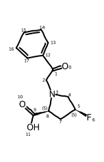 O=C(CN1C[C@@H](F)C[C@H]1C(=O)O)c1ccccc1